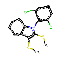 CSc1c(SC)n(-c2c(Cl)cccc2Cl)c2ccccc12